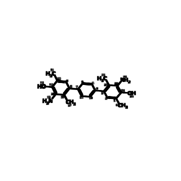 Cc1cc(-c2ccc(-c3cc(C)c(O)c(N)c3C)cc2)c(C)c(N)c1O